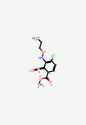 CCCONC1=C(Cl)C=CC(C(=O)OC)C1=C=O